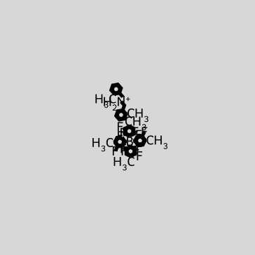 Cc1cc(F)c([B-](c2c(F)cc(C)c(F)c2F)(c2c(F)cc(C)c(F)c2F)c2c(F)cc(C)c(F)c2F)c(F)c1F.Cc1ccccc1C[NH2+]Cc1ccccc1C